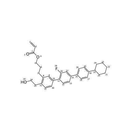 C=CC(=O)OCCCc1cc(-c2ccc(-c3ccc(C4CCCCC4)cc3)cc2F)ccc1CCO